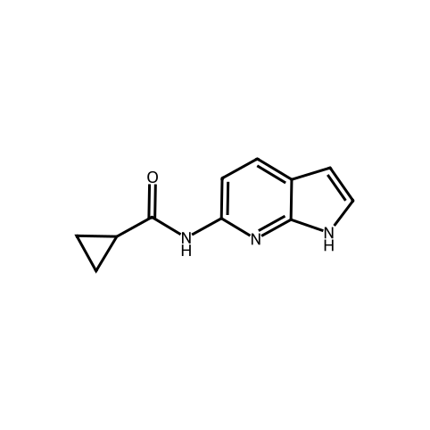 O=C(Nc1ccc2cc[nH]c2n1)C1CC1